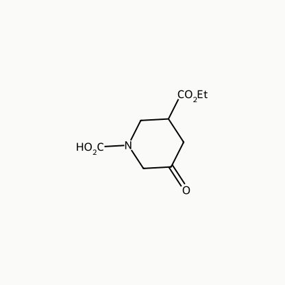 CCOC(=O)C1CC(=O)CN(C(=O)O)C1